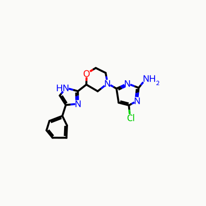 Nc1nc(Cl)cc(N2CCOC(c3nc(-c4ccccc4)c[nH]3)C2)n1